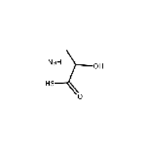 CC(O)C(=O)S.[NaH]